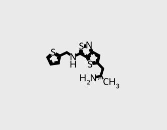 C[C@H](N)Cc1cc2nsc(NCc3cccs3)c2s1